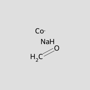 C=O.[Co].[NaH]